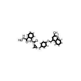 Cc1cc(COc2ccc(C[C@@H]3C[C@@H]3C(=O)Nc3ccccc3C(=O)NO)cc2)c2ccccc2n1